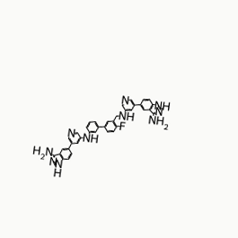 Nc1n[nH]c2ccc(-c3cncc(NCc4cc(-c5cccc(Nc6cncc(-c7ccc8[nH]nc(N)c8c7)c6)c5)ccc4F)c3)cc12